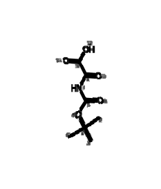 CC(C)(C)OC(=O)NC(=O)C(=O)O